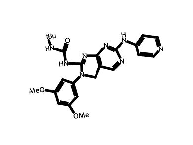 COc1cc(OC)cc(N2Cc3cnc(Nc4ccncc4)nc3N=C2NC(=O)NC(C)(C)C)c1